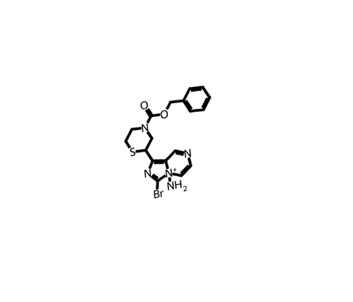 N[N+]12C=CN=CC1=C(C1CN(C(=O)OCc3ccccc3)CCS1)N=C2Br